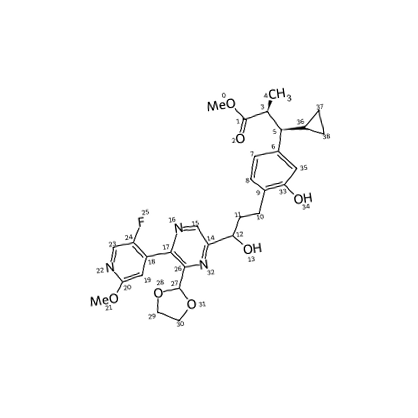 COC(=O)[C@@H](C)[C@H](c1ccc(CCC(O)c2cnc(-c3cc(OC)ncc3F)c(C3OCCO3)n2)c(O)c1)C1CC1